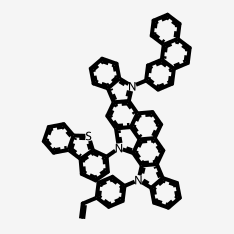 C=Cc1ccc(-n2c3ccccc3c3cc4ccc5c6c4c(c32)n(-c2cccc3c2sc2ccccc23)c6cc2c3ccccc3n(-c3ccc4ccc6ccccc6c4c3)c25)cc1